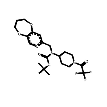 CC(C)(C)OC(=O)N(Cc1cc2c(cn1)OCCCO2)C1CCN(C(=O)C(F)(F)F)CC1